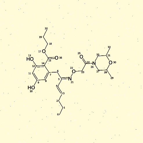 CCC/C=C/C(Cc1cc(O)cc(O)c1C(=O)OCCC)=N/OCC(=O)N1CC(C)OC(C)C1